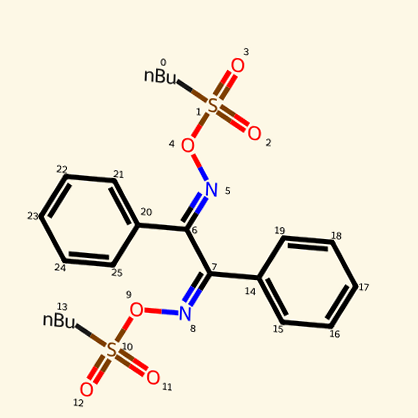 CCCCS(=O)(=O)ON=C(C(=NOS(=O)(=O)CCCC)c1ccccc1)c1ccccc1